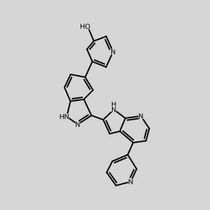 Oc1cncc(-c2ccc3[nH]nc(-c4cc5c(-c6cccnc6)ccnc5[nH]4)c3c2)c1